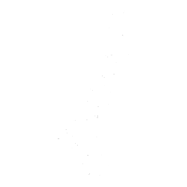 O=C(Nc1ccc(N2CCN(C(=O)C(O)C3CCCCC3)CC2)nc1)c1oc(-c2ccccc2)nc1C(F)(F)F